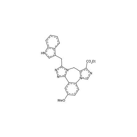 CCOC(=O)c1ncn2c1Cn1c(Cc3c[nH]c4ccccc34)nnc1-c1cc(OC)ccc1-2